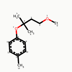 CCOCCC(C)(C)Oc1ccc(C)cc1